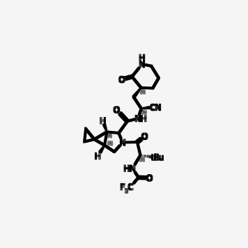 CC(C)(C)[C@H](NC(=O)C(F)(F)F)C(=O)N1C[C@H]2[C@@H](C1C(=O)N[C@H](C#N)C[C@@H]1CCCNC1=O)C21CC1